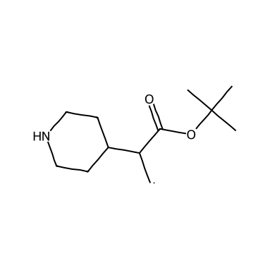 [CH2]C(C(=O)OC(C)(C)C)C1CCNCC1